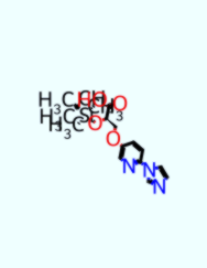 CC(C)(C)[Si](C)(C)O[C@H](COc1ccc(-n2ccnc2)nc1)C(=O)O